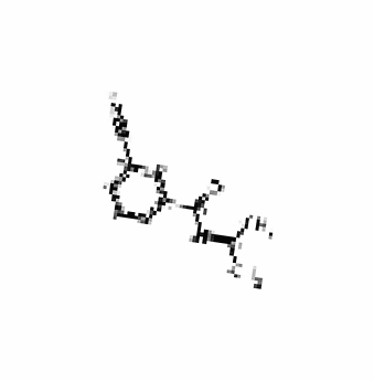 CC(C)=NC(=O)c1cccc(C#N)c1